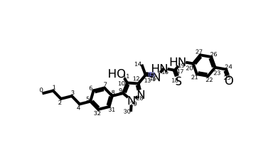 CCCCCc1ccc(-c2c(O)c(/C(C)=N/NC(=S)Nc3ccc(C=O)cc3)nn2C)cc1